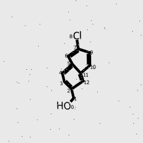 OCc1ccc2cc(Cl)ccc2c1